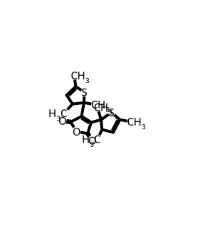 CC1=CC(C)C(C)(C2=C(C3(C)SC(C)=CC3C)C(=O)OC2=O)S1